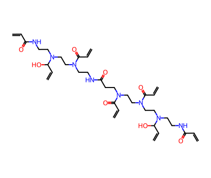 C=CC(=O)NCCN(CCN(CCNC(=O)CCN(CCN(CCN(CCNC(=O)C=C)C(O)C=C)C(=O)C=C)C(=O)C=C)C(=O)C=C)C(O)C=C